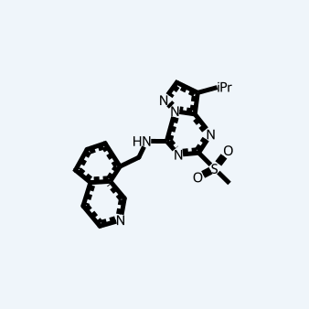 CC(C)c1cnn2c(NCc3cccc4ccncc34)nc(S(C)(=O)=O)nc12